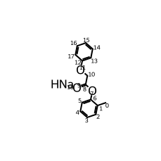 Cc1ccccc1OC(=O)COc1ccccc1.[NaH]